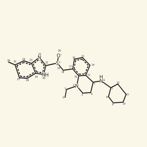 CCN1CCC(NC2CCCCC2)c2cccc(C[S+]([O-])c3nc4cc(C)ccc4[nH]3)c21